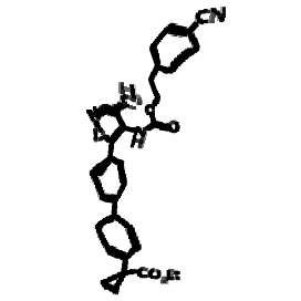 CCOC(=O)C1(c2ccc(-c3ccc(-c4onc(C)c4NC(=O)OCCc4ccc(C#N)cc4)cc3)cc2)CC1